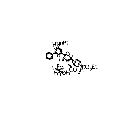 CCCNc1cc(C(=O)N[C@@H](CCC(=O)O)C(=O)N2CCN(C(=O)OCC)CC2)nc(-c2ccccc2)n1.O=S(=O)(O)C(F)(F)F